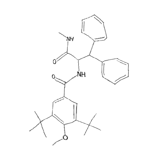 CNC(=O)C(NC(=O)c1cc(C(C)(C)C)c(OC)c(C(C)(C)C)c1)C(c1ccccc1)c1ccccc1